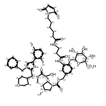 C[C@H](O)C(=O)N(C[C@@H]1CN(C(=O)OCc2ccc(O[C@@H]3O[C@H](C(=O)O)[C@@H](O)[C@H](O)[C@H]3O)c(NC(=O)CCNC(=O)CCCCCN3C(=O)C=CC3=O)c2)C[C@@H]1F)[C@@H](c1nc(-c2cc(F)ccc2F)cn1Cc1ccccc1)C1CCOCC1